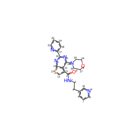 O=C(NCCc1cccnc1)c1csc2nc(-c3ccccn3)nc(N3CCOCC3)c12